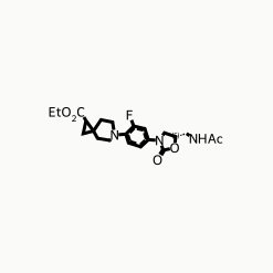 CCOC(=O)C1CC12CCN(c1ccc(N3C[C@H](CNC(C)=O)OC3=O)cc1F)CC2